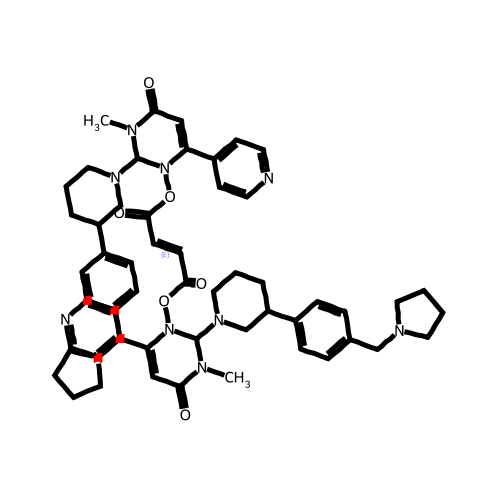 CN1C(=O)C=C(c2ccncc2)N(OC(=O)/C=C/C(=O)ON2C(c3ccncc3)=CC(=O)N(C)C2N2CCCC(c3ccc(CN4CCCC4)cc3)C2)C1N1CCCC(c2ccc(CN3CCCC3)cc2)C1